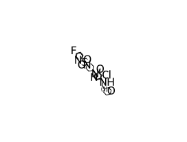 O=c1c(Cl)c(NC[C@@H]2CCCOC2)cnn1C1CCN(S(=O)(=O)c2ccc(F)cn2)CC1